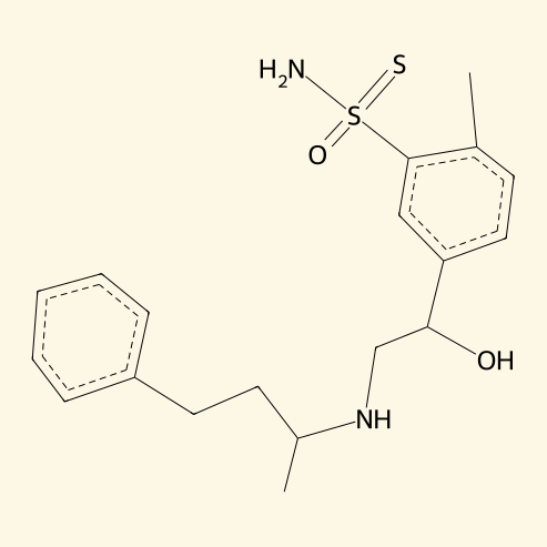 Cc1ccc(C(O)CNC(C)CCc2ccccc2)cc1S(N)(=O)=S